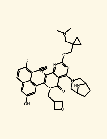 C#Cc1c(F)ccc2cc(O)cc(-c3c(F)c4nc(OCC5(CN(C)C)CC5)nc(N5CC6CCC(C5)N6)c4c(=O)n3CC3COC3)c12